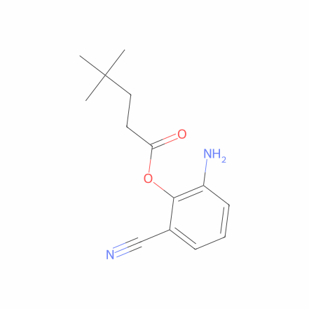 CC(C)(C)CCC(=O)Oc1c(N)cccc1C#N